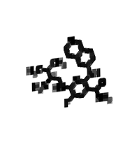 CC(C)[C@H](N)CNc1nc(Nc2ccc3cnccc3c2)c(C(N)=O)cc1F